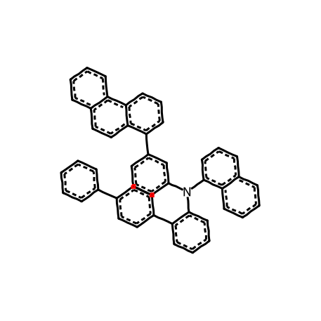 c1ccc(-c2ccc(-c3ccccc3N(c3cccc(-c4cccc5c4ccc4ccccc45)c3)c3cccc4ccccc34)cc2)cc1